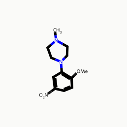 COc1ccc([N+](=O)[O-])cc1N1CCN(C)CC1